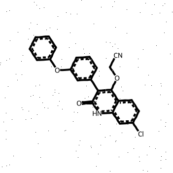 N#CCOc1c(-c2cccc(Oc3ccccc3)c2)c(=O)[nH]c2cc(Cl)ccc12